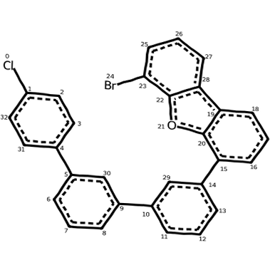 Clc1ccc(-c2cccc(-c3cccc(-c4cccc5c4oc4c(Br)cccc45)c3)c2)cc1